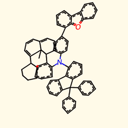 CC12C(=CC=CC1c1ccccc1N(c1ccc(-c3cccc4c3oc3ccccc34)cc1)c1cccc3c1-c1ccccc1C3(c1ccccc1)c1ccccc1)C=CC=C2C1CCCCC1